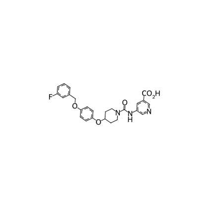 O=C(O)c1cncc(NC(=O)N2CCC(Oc3ccc(OCc4cccc(F)c4)cc3)CC2)c1